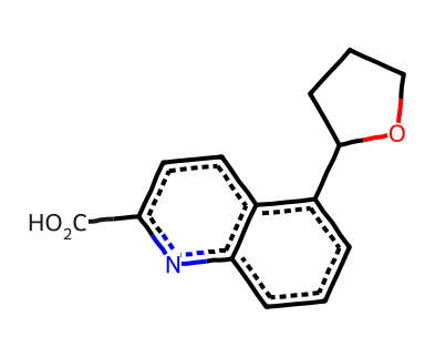 O=C(O)c1ccc2c(C3CCCO3)cccc2n1